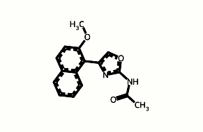 COc1ccc2ccccc2c1-c1coc(NC(C)=O)n1